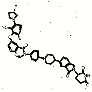 N#Cc1c(N2CC[C@@H](F)C2)ccc(F)c1Oc1ccc2ncn(-c3ccc(N4CCC(c5ccc6c(c5)C(=O)N(C5CCC(=O)NC5=O)C6)CC4)cc3)c(=O)c2c1